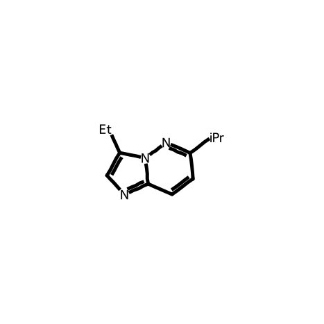 CCc1cnc2ccc(C(C)C)nn12